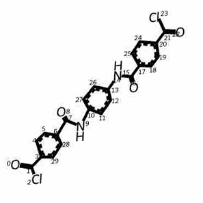 O=C(Cl)c1ccc(C(=O)Nc2ccc(NC(=O)c3ccc(C(=O)Cl)cc3)cc2)cc1